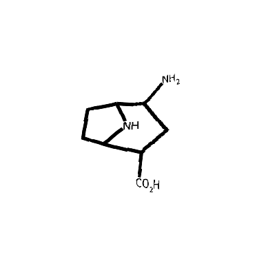 NC1CC(C(=O)O)C2CCC1N2